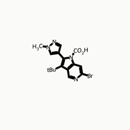 Cn1cc(-c2c(C(C)(C)C)c3cnc(Br)cc3n2C(=O)O)cn1